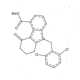 COC(=O)c1cccc2c1c1c(n2Cc2c(Cl)cccc2Cl)CCCC1=O